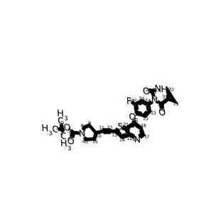 CC(C)(C)OC(=O)N1CCC(C#Cc2cc3nccc(Oc4ccc(N(C(N)=O)C(=O)C5CC5)cc4F)c3s2)CC1